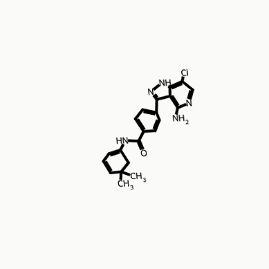 CC1(C)C=CC=C(NC(=O)c2ccc(-c3n[nH]c4c(Cl)cnc(N)c34)cc2)C1